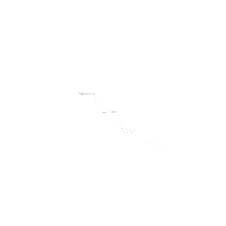 C=CC=CCCC(O)C(=C)C